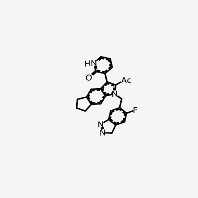 CC(=O)c1c(-c2ccc[nH]c2=O)c2cc3c(cc2n1Cc1cc2c(cc1F)CN=N2)CCC3